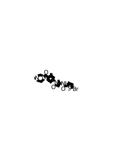 Cc1cc(N2CC(NC(=O)c3ccc(Br)s3)CC2=O)ccc1C(=O)N1CCCN(C)CC1